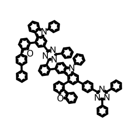 c1ccc(-c2ccc3c(c2)oc2c(-c4cc(-c5nc(-c6ccccc6)nc(-c6ccccc6-c6ccc7c(c6)c6c(-c8cccc9oc%10ccccc%10c89)cc(-c8ccc(-c9nc(-c%10ccccc%10)nc(-c%10ccccc%10)n9)cc8)cc6n7-c6ccccc6)n5)cc5c4c4ccccc4n5-c4ccccc4)cccc23)cc1